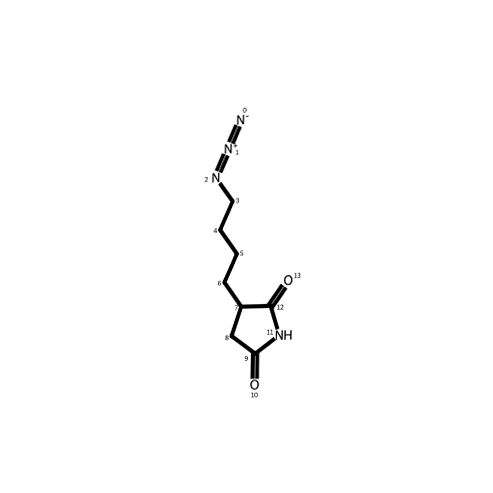 [N-]=[N+]=NCCCCC1CC(=O)NC1=O